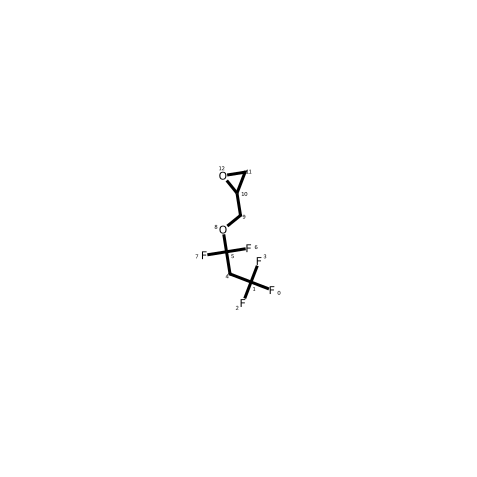 FC(F)(F)CC(F)(F)OCC1CO1